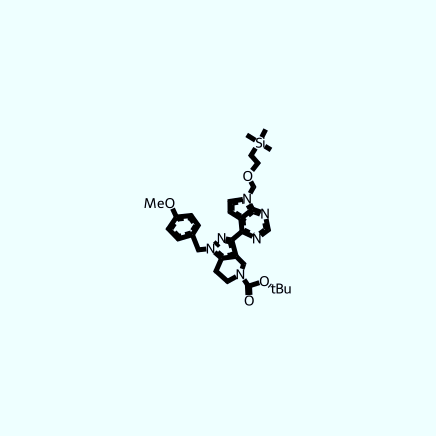 COc1ccc(Cn2nc(-c3ncnc4c3ccn4COCC[Si](C)(C)C)c3c2CCN(C(=O)OC(C)(C)C)C3)cc1